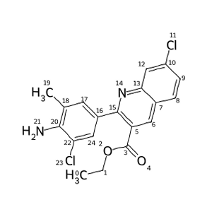 CCOC(=O)c1cc2ccc(Cl)cc2nc1-c1cc(C)c(N)c(Cl)c1